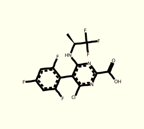 C[C@H](Nc1nc(C(=O)O)nc(Cl)c1-c1c(F)cc(F)cc1F)C(F)(F)F